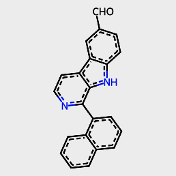 O=Cc1ccc2[nH]c3c(-c4cccc5ccccc45)nccc3c2c1